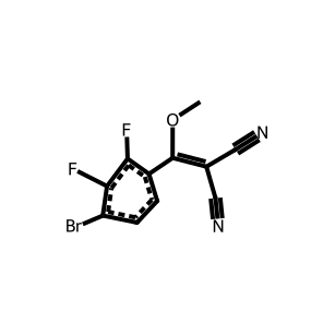 COC(=C(C#N)C#N)c1ccc(Br)c(F)c1F